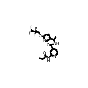 CCC(=O)Nc1cc(C(=O)NC(C)c2ccc(OCC(F)(F)C(F)F)nc2)ccn1